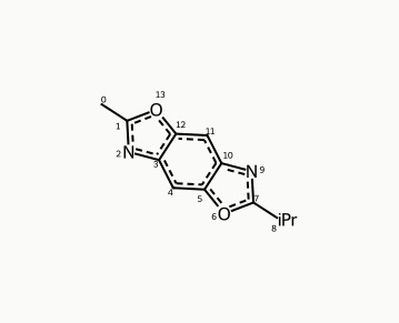 Cc1nc2cc3oc(C(C)C)nc3cc2o1